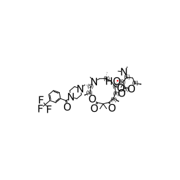 CO[C@]1(C)C[C@@H](C)CN(C)[C@@H](CN2CCN(C(=O)c3cccc(C(F)(F)F)c3)CC2)[C@H](C)OC(=O)C(C)(C)C(=O)[C@H](C)[C@H]1O[C@@H]1O[C@H](C)C[C@H](N(C)C)[C@H]1O